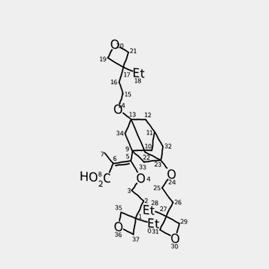 CCC1(CCOC(=C(C)C(=O)O)C23CC4CC(OCCC5(CC)COC5)(CC(OCCC5(CC)COC5)(C4)C2)C3)COC1